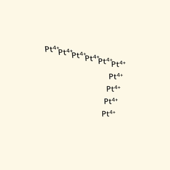 [Pt+4].[Pt+4].[Pt+4].[Pt+4].[Pt+4].[Pt+4].[Pt+4].[Pt+4].[Pt+4].[Pt+4]